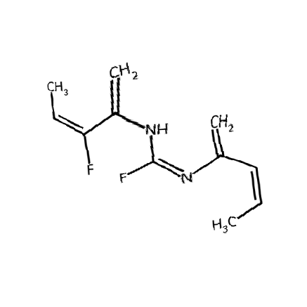 C=C(/C=C\C)/N=C(/F)NC(=C)/C(F)=C\C